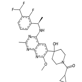 COc1nc2nc(C)nc(N[C@H](C)c3cccc(C(F)F)c3F)c2cc1C1(O)CCN(C(=O)C2CC2)CC1